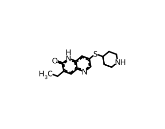 CCc1cc2ncc(SC3CCNCC3)cc2[nH]c1=O